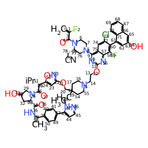 C=C(F)C(=O)N1CCN(c2nc(OCCN3CCC(C)(COc4cc([C@H](C(=O)N5C[C@H](O)C[C@H]5C(=O)N[C@@H](C)c5ccc(-c6ccnn6C)cc5)C(C)C)on4)CC3)nc3c(F)c(-c4cc(O)cc5ccccc45)c(Cl)cc23)C[C@@H]1CC#N